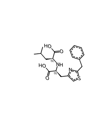 CC(C)C[C@H](N[C@@H](Cc1csc(Cc2ccccc2)n1)C(=O)O)C(=O)O